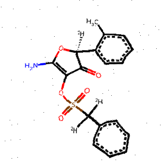 [2H]C([2H])(c1ccccc1)S(=O)(=O)OC1=C(N)O[C@@]([2H])(c2ccccc2C)C1=O